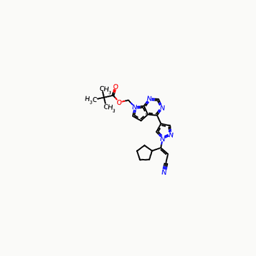 CC(C)(C)C(=O)OCn1ccc2c(-c3cnn(C(=CC#N)C4CCCC4)c3)ncnc21